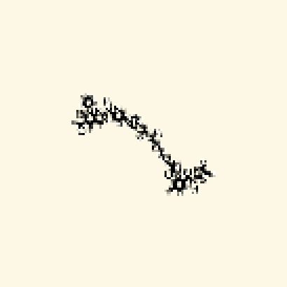 CC(=O)c1c(C)c2cnc(Nc3ccc(N4CCN(CC(=O)NCCOCCOCCC(=O)Nc5cc(I)ccc5C(=O)NC5=NC(C)C(C)S5)CC4)cn3)nc2n(C2CCCC2)c1=O